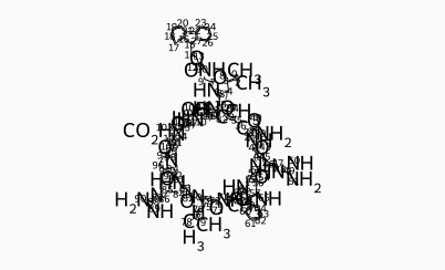 CC(C)=CC[C@H](NC(=O)CNC(=O)OCC1c2ccccc2-c2ccccc21)C(=O)N[C@H]1CC(C)CC[C@@H](C(N)=O)NC(=O)[C@H](CCCNC(=N)N)NC(=O)[C@H](Cc2cc3ccccc3[nH]2)NC(=O)[C@H](C)NC(=O)[C@H](CC=C(C)C)NC(=O)[C@H](CCCNC(=N)N)NC(=O)C2CCCN2C(=O)[C@H](CC(=O)O)NC(=O)[C@H](CO)NC1=O